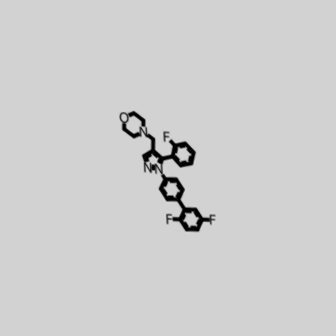 Fc1ccc(F)c(-c2ccc(-n3ncc(CN4CCOCC4)c3-c3ccccc3F)cc2)c1